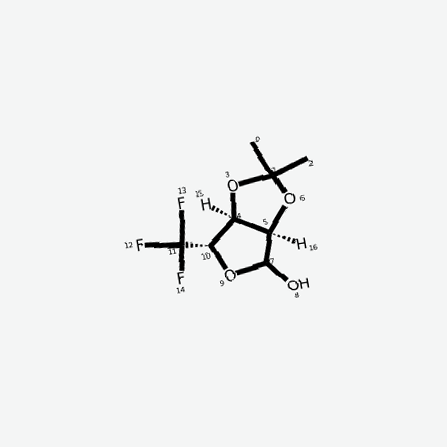 CC1(C)O[C@H]2[C@@H](O1)C(O)O[C@@H]2C(F)(F)F